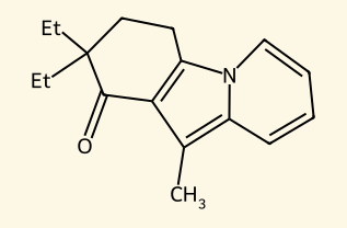 CCC1(CC)CCc2c(c(C)c3ccccn23)C1=O